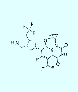 COC1c2c(c(=O)[nH]c(=O)n2C2CC2)C(C(F)F)=C(F)C1N1CC(CN)C(CC(F)(F)F)C1